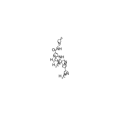 Cc1ncc(C(=O)NCCN2CCC3(CC3)C2)cc1Nc1nn(C)c2c1cnn1cc(-c3cnn(C)c3)cc21